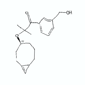 CC(C)(O[C@H]1CCCC2C=C2CC1)C(=O)c1cccc(CO)c1